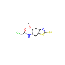 COc1cc2nc(S)sc2cc1NC(=O)CCl